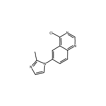 Cc1nccn1-c1ccc2ncnc(Cl)c2c1